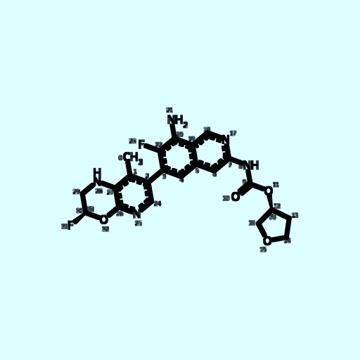 Cc1c(-c2cc3cc(NC(=O)O[C@H]4CCOC4)ncc3c(N)c2F)cnc2c1NC[C@H](F)O2